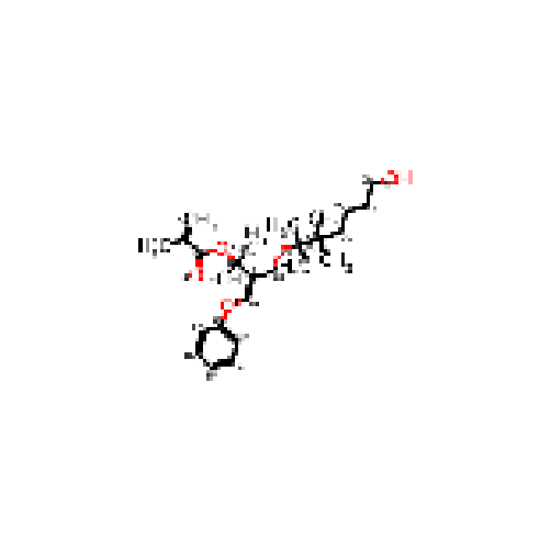 C=C(C)C(=O)OC(C)(C)C(COc1ccccc1)COC(C)(C)C(C)(C)CCCCO